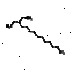 [CH2]CC(CC)CCCCCCCCCCC